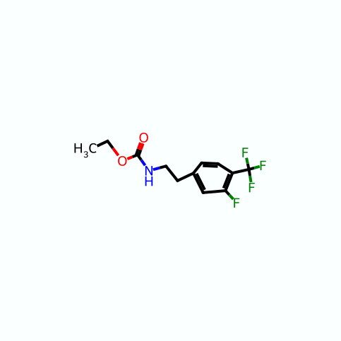 CCOC(=O)NCCc1ccc(C(F)(F)F)c(F)c1